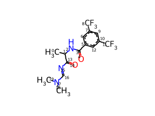 CC(NC(=O)c1cc(C(F)(F)F)cc(C(F)(F)F)c1)C(=O)N=CN(C)C